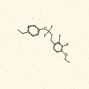 CCOc1ccc(CCC(F)(F)Oc2ccc(CC)cc2)c(F)c1F